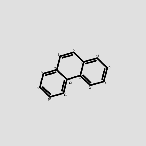 [c]1ccc2c([c]cc3c[c]ccc32)c1